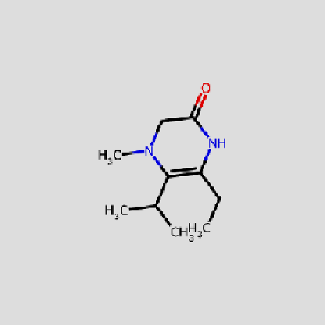 CCC1=C(C(C)C)N(C)CC(=O)N1